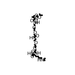 CC(C)NCCCCC(NC(=O)COCCOCCNC(=O)COCCOCCNC(=O)C(NC(=O)OC(C)C)C(C)C)C(=O)O